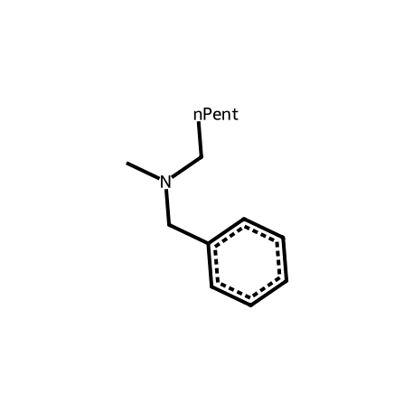 CCCCCCN(C)Cc1ccccc1